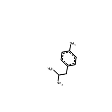 Nc1ccc(CC(N)N)cc1